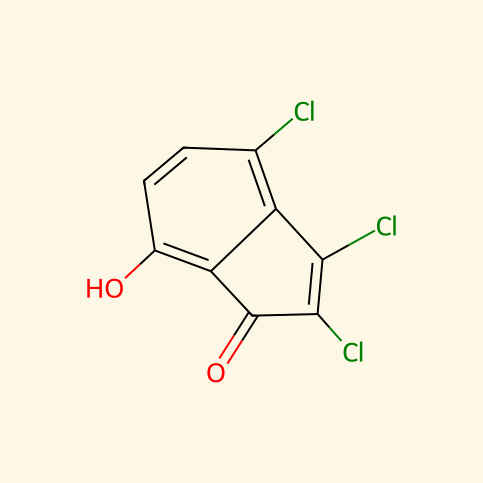 O=C1C(Cl)=C(Cl)c2c(Cl)ccc(O)c21